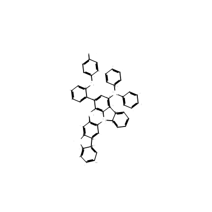 Cc1ccc(Nc2ccccc2-c2cc(N(c3ccccc3)c3ccccc3)c3c4ccccc4n4c3c2Bc2cc3sc5ccccc5c3cc2-4)cc1